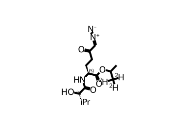 [2H]C([2H])([2H])C(C)OC(=O)[C@H](CCC(=O)C=[N+]=[N-])NC(=O)[C@@H](O)C(C)C